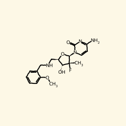 COc1ccccc1CNC[C@H]1O[C@@H](n2ccc(N)nc2=O)[C@](C)(F)[C@@H]1O